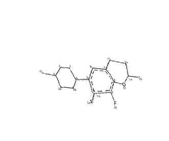 CC1CCC(c2cc3c(c(F)c2F)OC(C)CC3)CC1